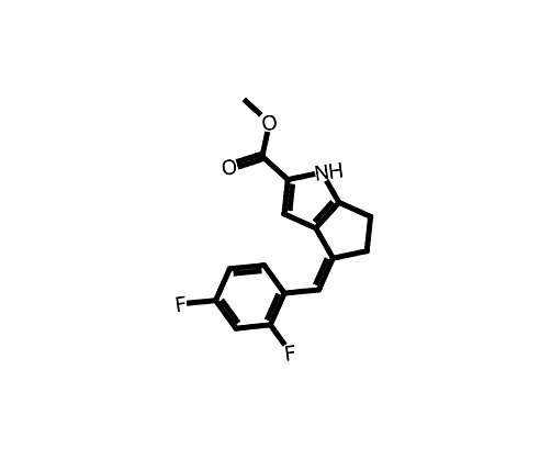 COC(=O)c1cc2c([nH]1)CC/C2=C/c1ccc(F)cc1F